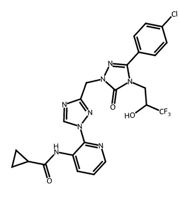 O=C(Nc1cccnc1-n1cnc(Cn2nc(-c3ccc(Cl)cc3)n(CC(O)C(F)(F)F)c2=O)n1)C1CC1